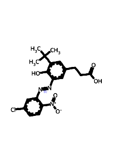 CC(C)(C)c1cc(CCC(=O)O)cc(/N=N/c2cc(Cl)ccc2[N+](=O)[O-])c1O